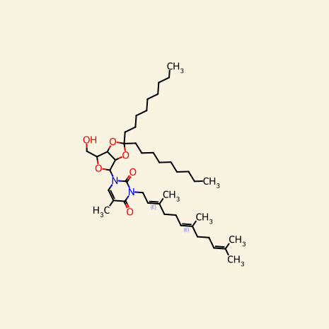 CCCCCCCCCC1(CCCCCCCCC)OC2C(CO)OC(n3cc(C)c(=O)n(C/C=C(\C)CC/C=C(\C)CCC=C(C)C)c3=O)C2O1